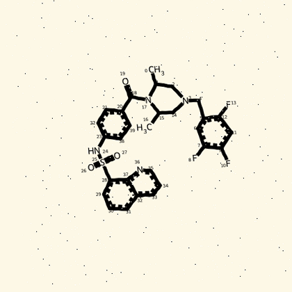 CC1CN(Cc2cc(F)c(F)cc2F)CC(C)N1C(=O)c1ccc(NS(=O)(=O)c2cccc3cccnc23)cc1